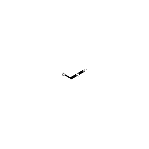 S=C=CCl